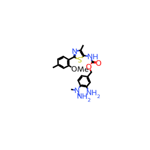 COc1cc(C)ccc1-c1nc(C)c(NC(=O)OCc2ccc(N(C)N)c(N)c2)s1